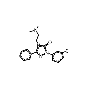 CN(C)CCn1c(-c2ccccc2)nn(-c2cccc(Cl)c2)c1=O